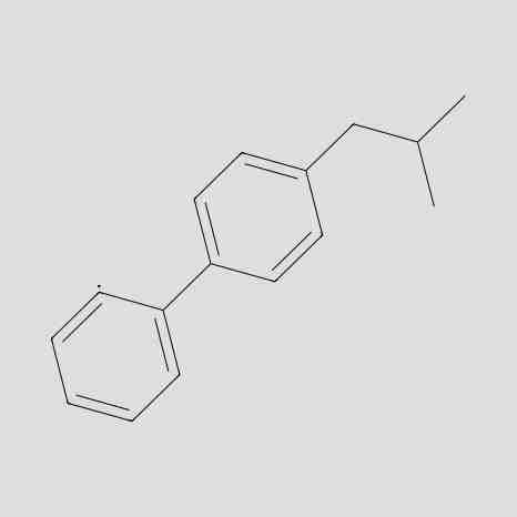 CC(C)Cc1ccc(-c2[c]cccc2)cc1